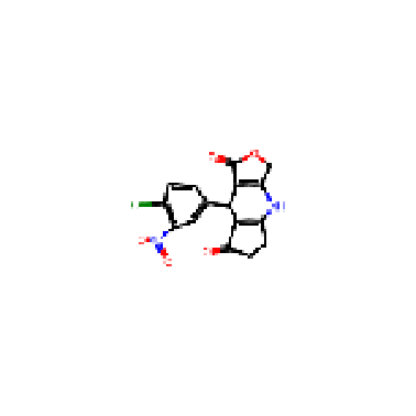 O=C1CCC2=C1C(c1ccc(Cl)c([N+](=O)[O-])c1)C1=C(COC1=O)N2